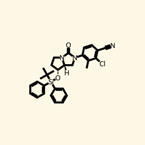 Cc1c(N2C[C@@H]3[C@H](O[Si](c4ccccc4)(c4ccccc4)C(C)(C)C)CCN3C2=O)ccc(C#N)c1Cl